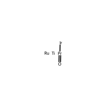 [O]=[Pr][Ir].[Ru].[Ti]